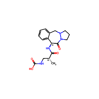 C[C@H](CNC(=O)O)C(=O)N[C@@H]1C(=O)N2CCCN2Cc2ccccc21